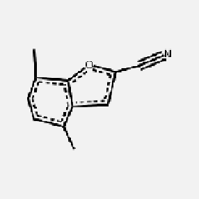 Cc1ccc(C)c2oc(C#N)cc12